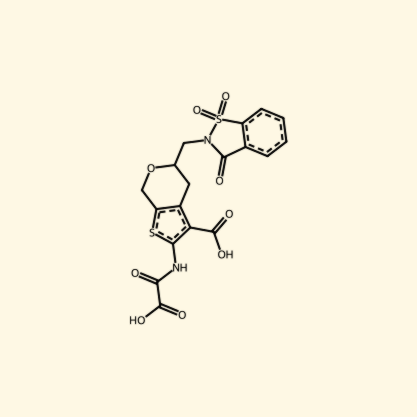 O=C(O)C(=O)Nc1sc2c(c1C(=O)O)CC(CN1C(=O)c3ccccc3S1(=O)=O)OC2